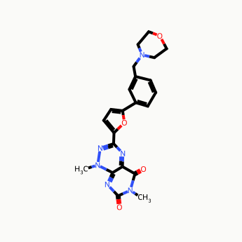 Cn1nc(-c2ccc(-c3cccc(CN4CCOCC4)c3)o2)nc2c(=O)n(C)c(=O)nc1-2